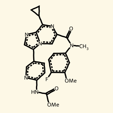 COC(=O)Nc1ccc(-c2cnc3c(C4CC4)nc(C(=O)N(C)c4ccc(F)c(OC)c4)cn23)cn1